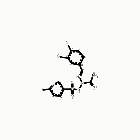 Cc1ccc(S(=O)(=O)ON(N=Cc2ccc(F)c(Br)c2)C(=N)N)cc1